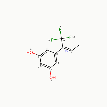 C/C=C(/c1cc(O)bc(O)c1)C(F)(F)F